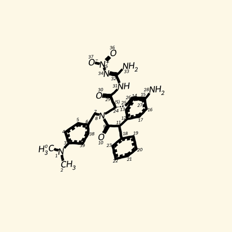 CN(C)c1ccc(CN(C(=O)C(c2ccccc2)c2ccccc2)[C@@H](CCCN)C(=O)NC(N)=N[N+](=O)[O-])cc1